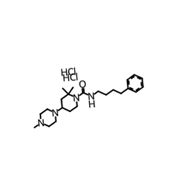 CN1CCN(C2CCN(C(=O)NCCCCc3ccccc3)C(C)(C)C2)CC1.Cl.Cl